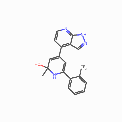 CC1(O)C=C(c2ccnc3[nH]ncc23)C=C(c2ccccc2C(F)(F)F)N1